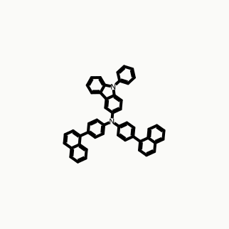 c1ccc(-n2c3ccccc3c3cc(N(c4ccc(-c5cccc6ccccc56)cc4)c4ccc(-c5cccc6ccccc56)cc4)ccc32)cc1